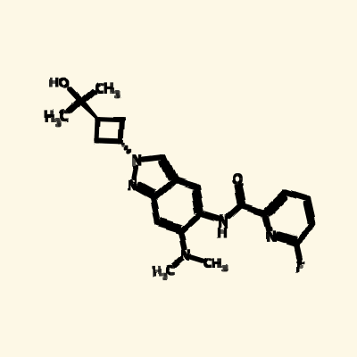 CN(C)c1cc2nn([C@H]3C[C@H](C(C)(C)O)C3)cc2cc1NC(=O)c1cccc(F)n1